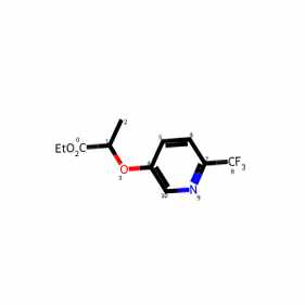 CCOC(=O)C(C)Oc1ccc(C(F)(F)F)nc1